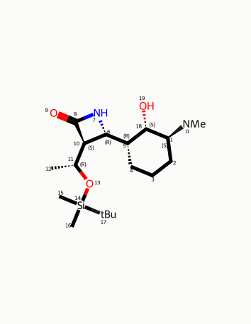 CN[C@H]1CCC[C@H]([C@H]2NC(=O)[C@@H]2[C@@H](C)O[Si](C)(C)C(C)(C)C)[C@@H]1O